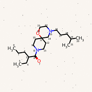 CCCC(CC)C(=O)N1CCC2(CC1)CN(CCCC(C)C)CCO2